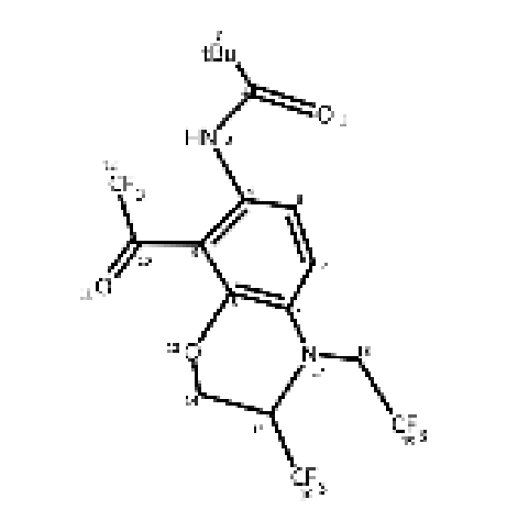 CC(C)(C)C(=O)Nc1ccc2c(c1C(=O)C(F)(F)F)OCC(C(F)(F)F)N2CC(F)(F)F